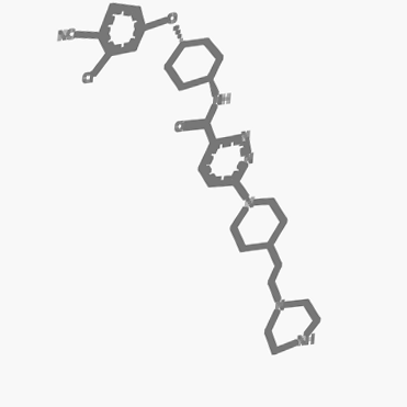 N#Cc1ccc(O[C@H]2CC[C@H](NC(=O)c3ccc(N4CCC(CCN5CCNCC5)CC4)nn3)CC2)cc1Cl